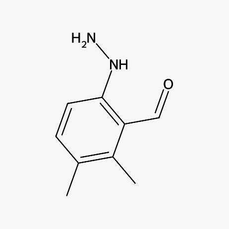 Cc1ccc(NN)c(C=O)c1C